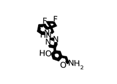 NC(=O)Cc1ccc(O)c(-c2cnc(NCC3(c4ncccc4F)CC(F)C3)nc2)c1